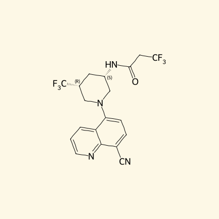 N#Cc1ccc(N2C[C@@H](NC(=O)CC(F)(F)F)C[C@@H](C(F)(F)F)C2)c2cccnc12